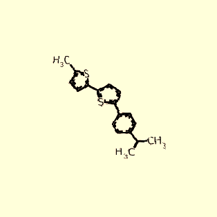 Cc1ccc(-c2ccc(-c3ccc(C(C)C)cc3)s2)s1